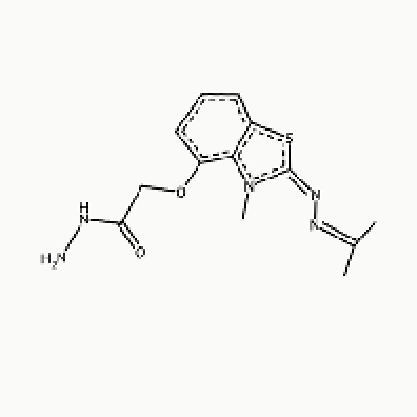 CC(C)=NN=c1sc2cccc(OCC(=O)NN)c2n1C